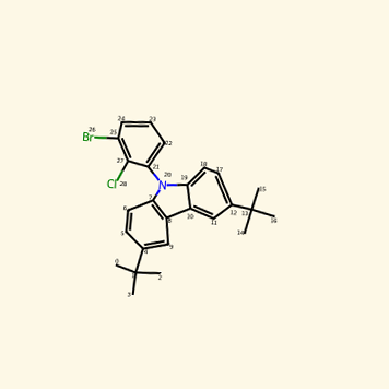 CC(C)(C)c1ccc2c(c1)c1cc(C(C)(C)C)ccc1n2-c1cccc(Br)c1Cl